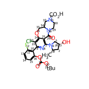 C[C@H]1C[C@@H](O)CN1c1nc(-c2c(F)cccc2OC(=O)OC(C)(C)C)c(Cl)c2c1C(=O)N1CCN(C(=O)O)CC1CO2